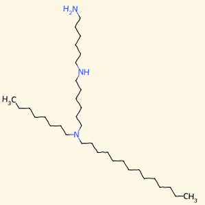 CCCCCCCCCCCCCCN(CCCCCCCC)CCCCCCNCCCCCCN